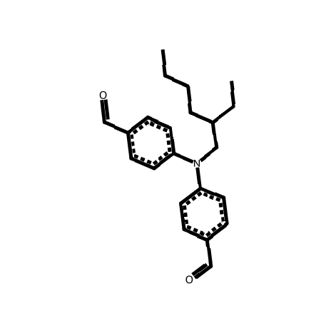 CCCCC(CC)CN(c1ccc(C=O)cc1)c1ccc(C=O)cc1